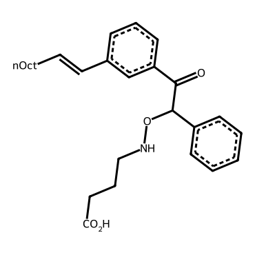 CCCCCCCCC=Cc1cccc(C(=O)C(ONCCCC(=O)O)c2ccccc2)c1